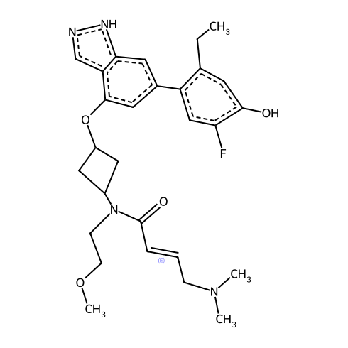 CCc1cc(O)c(F)cc1-c1cc(OC2CC(N(CCOC)C(=O)/C=C/CN(C)C)C2)c2cn[nH]c2c1